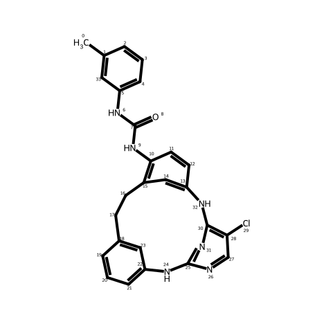 Cc1cccc(NC(=O)Nc2ccc3cc2CCc2cccc(c2)Nc2ncc(Cl)c(n2)N3)c1